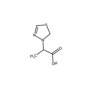 CC(C(=O)O)N1CSC=N1